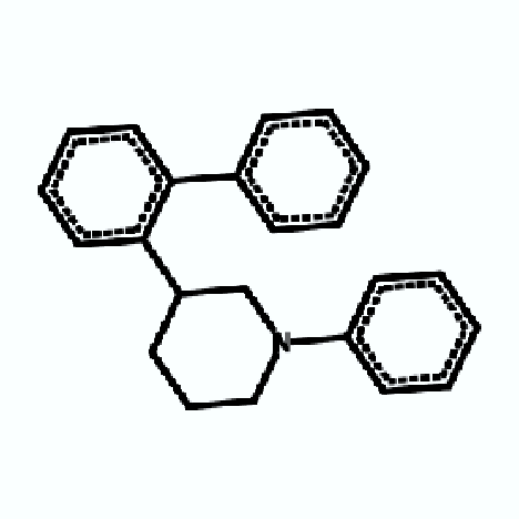 c1ccc(-c2ccccc2C2CCCN(c3ccccc3)C2)cc1